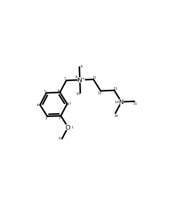 COc1cccc(C[N+](C)(C)CCCN(C)C)c1